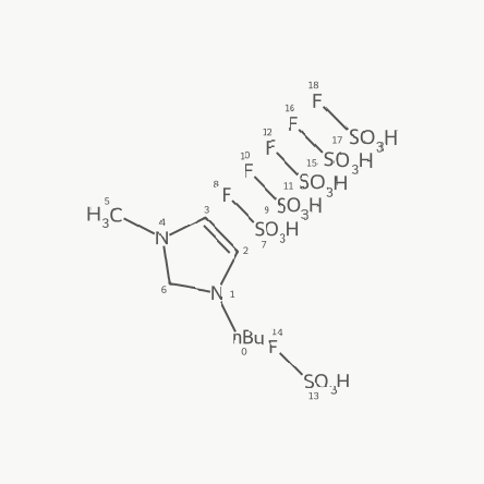 CCCCN1C=CN(C)C1.O=S(=O)(O)F.O=S(=O)(O)F.O=S(=O)(O)F.O=S(=O)(O)F.O=S(=O)(O)F.O=S(=O)(O)F